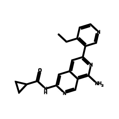 CCc1ccncc1-c1cc2cc(NC(=O)C3CC3)ncc2c(N)n1